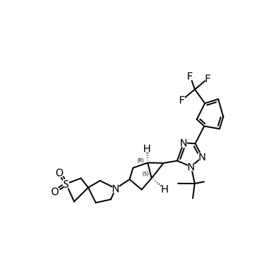 CC(C)(C)n1nc(-c2cccc(C(F)(F)F)c2)nc1C1[C@H]2CC(N3CCC4(C3)CS(=O)(=O)C4)C[C@@H]12